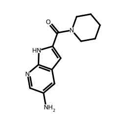 Nc1cnc2[nH]c(C(=O)N3CCCCC3)cc2c1